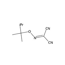 CC(C)C(C)(C)ON=C(C#N)C#N